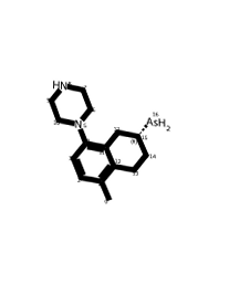 Cc1ccc(N2CCNCC2)c2c1CC[C@@H]([AsH2])C2